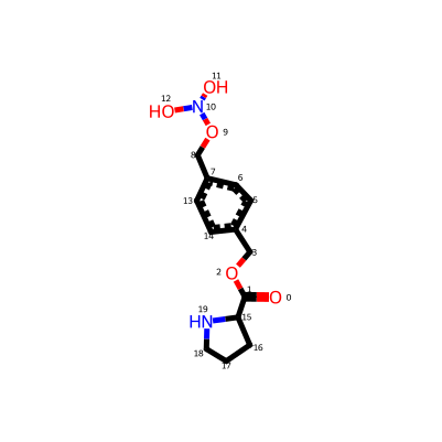 O=C(OCc1ccc(CON(O)O)cc1)C1CCCN1